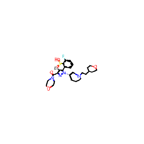 CCc1c(C(=O)N2CCOCC2)nn([C@H]2CCCN(CCC3CCOCC3)C2)c1-c1cccc(F)c1S(=O)O